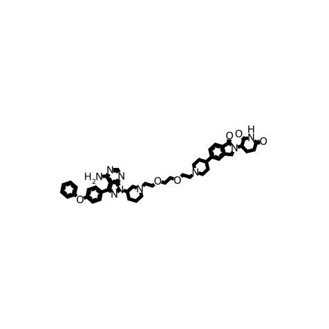 Nc1ncnc2c1c(-c1ccc(Oc3ccccc3)cc1)nn2C1CCCN(CCOCCOCCN2CCC(c3ccc4c(c3)CN(C3CCC(=O)NC3=O)C4=O)CC2)C1